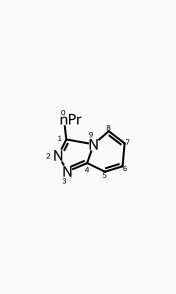 CCCc1nnc2ccccn12